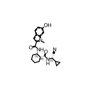 Cn1c(C(=O)N[C@H]2CCCC[C@H]2C(=O)N[C@H](C#N)C2CC2)cc2ccc(O)cc21